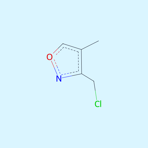 Cc1conc1CCl